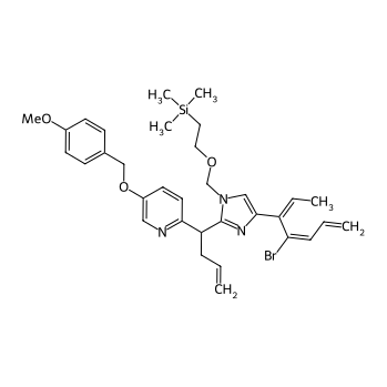 C=C/C=C(Br)\C(=C/C)c1cn(COCC[Si](C)(C)C)c(C(CC=C)c2ccc(OCc3ccc(OC)cc3)cn2)n1